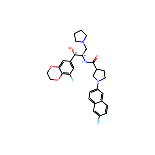 O=C(N[C@H](CN1CCCC1)[C@H](O)c1cc(F)c2c(c1)OCCO2)C1CCN(c2ccc3cc(F)ccc3c2)C1